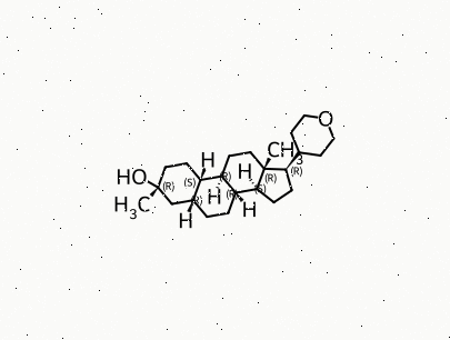 C[C@@]1(O)CC[C@H]2[C@H](CC[C@@H]3[C@@H]2CC[C@]2(C)[C@@H](C4CCOCC4)CC[C@@H]32)C1